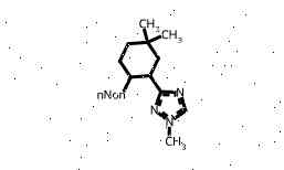 CCCCCCCCCC1CCC(C)(C)CC1c1ncn(C)n1